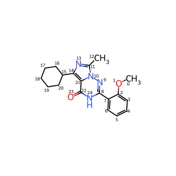 COc1ccccc1-c1nn2c(C)nc(C3CCCCC3)c2c(=O)[nH]1